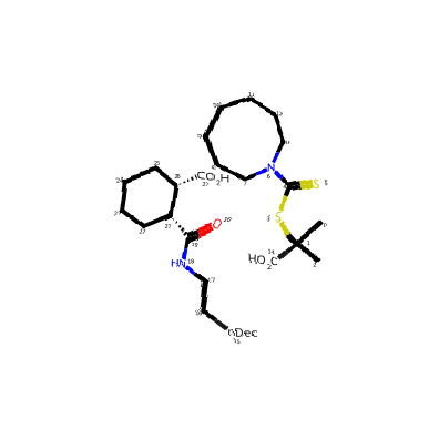 CC(C)(SC(=S)N1CCCCCCC1)C(=O)O.CCCCCCCCCCCCNC(=O)[C@@H]1CCCC[C@@H]1C(=O)O